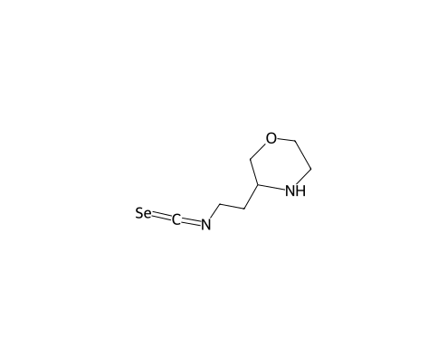 [Se]=C=NCCC1COCCN1